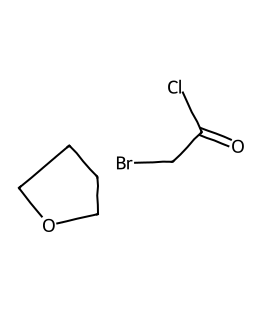 C1CCOC1.O=C(Cl)CBr